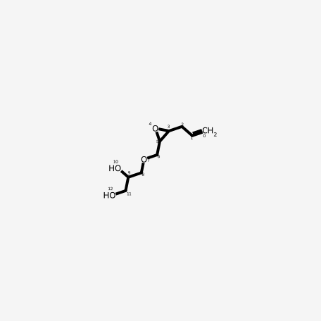 C=CCC1OC1COCC(O)CO